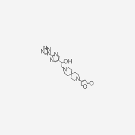 O=C1C=C(N2CCC3(CCN(CC(O)c4cnc(-n5cnnn5)nc4)CC3)CC2)CO1